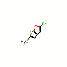 Cc1cc2cc(Br)oc2s1